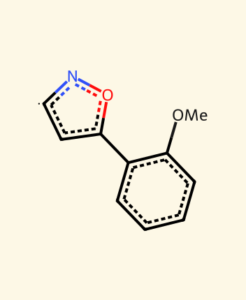 COc1ccccc1-c1c[c]no1